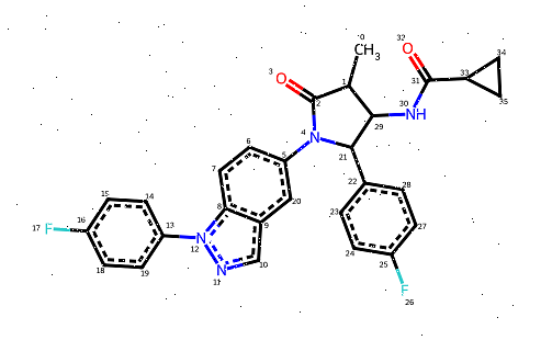 CC1C(=O)N(c2ccc3c(cnn3-c3ccc(F)cc3)c2)C(c2ccc(F)cc2)C1NC(=O)C1CC1